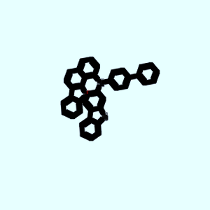 c1ccc(-c2ccc(N(c3ccc4c(c3)sc3ccccc34)c3cccc4ccc5c6ccccc6sc5c34)cc2)cc1